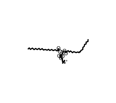 CCCCCCCCC/C=C\CCCCCCCC(=O)O[C@H](COC(=O)CCCCCCCCCCCCCCCCCCC)COP(=O)([O-])OCC[N+](C)(C)C